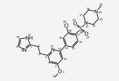 COc1cc(CCc2ncc[nH]2)nc(-c2ccc(S(=O)(=O)N3CCN(C)CC3)c(Cl)c2)c1